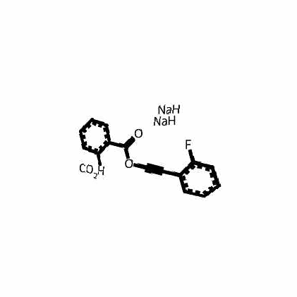 O=C(O)c1ccccc1C(=O)OC#Cc1ccccc1F.[NaH].[NaH]